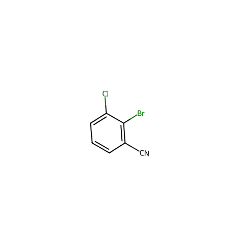 N#Cc1cccc(Cl)c1Br